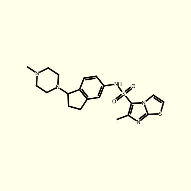 Cc1nc2sccn2c1S(=O)(=O)Nc1ccc2c(c1)CCC2N1CCN(C)CC1